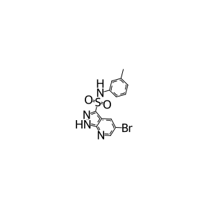 Cc1cccc(NS(=O)(=O)c2n[nH]c3ncc(Br)cc23)c1